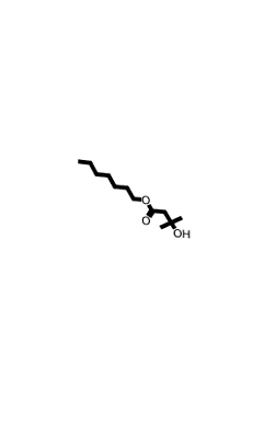 CCCCCCCOC(=O)CC(C)(C)O